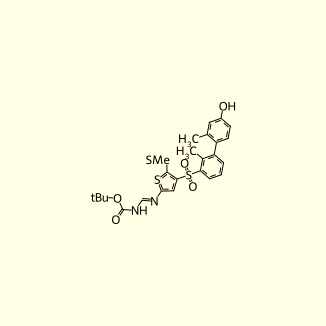 CSc1sc(N=CNC(=O)OC(C)(C)C)cc1S(=O)(=O)c1cccc(-c2ccc(O)cc2C)c1C